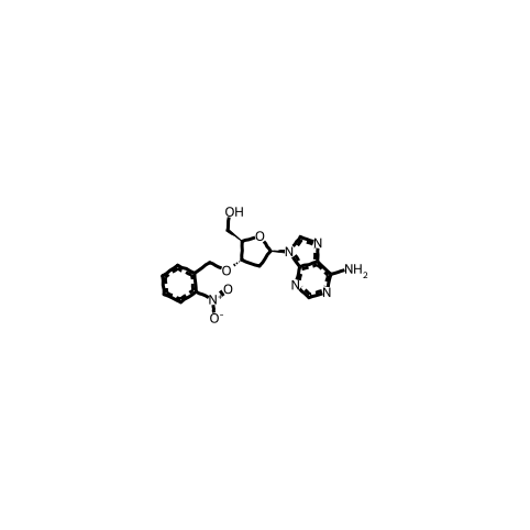 Nc1ncnc2c1ncn2[C@H]1C[C@H](OCc2ccccc2[N+](=O)[O-])[C@@H](CO)O1